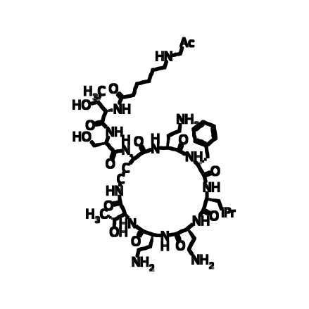 CC(=O)CNCCCCCC(=O)N[C@H](C(=O)N[C@H](CO)C(=O)N[C@H]1CCNC(=O)[C@H]([C@@H](C)O)NC(=O)[C@H](CCN)NC(=O)[C@H](CCN)NC(=O)[C@H](CC(C)C)NC(=O)[C@@H](Cc2ccccc2)NC(=O)[C@H](CCN)NC1=O)[C@@H](C)O